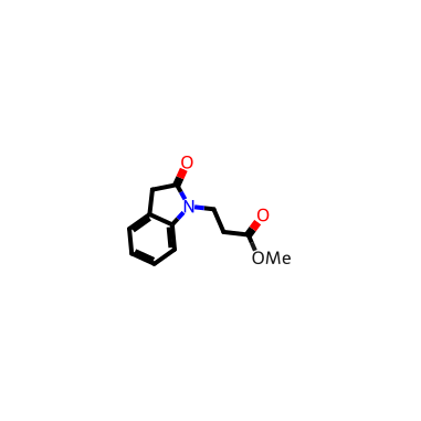 COC(=O)CCN1C(=O)Cc2ccccc21